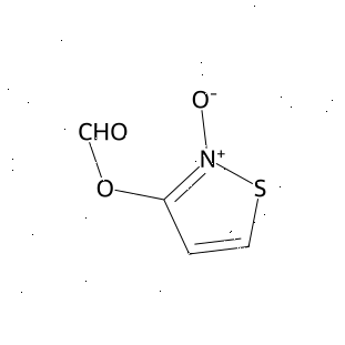 O=COc1ccs[n+]1[O-]